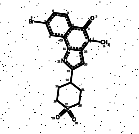 Cn1c(=O)c2ccc(Br)cc2n2nc(C3CCS(=O)(=O)CC3)cc12